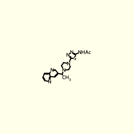 CC(=O)Nc1nnc(N2CCN(C(C)c3cnc4cccnc4c3)CC2)s1